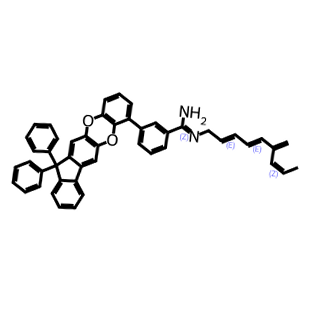 C=C(/C=C\C)/C=C/C=C/C/N=C(\N)c1cccc(-c2cccc3c2Oc2cc4c(cc2O3)C(c2ccccc2)(c2ccccc2)c2ccccc2-4)c1